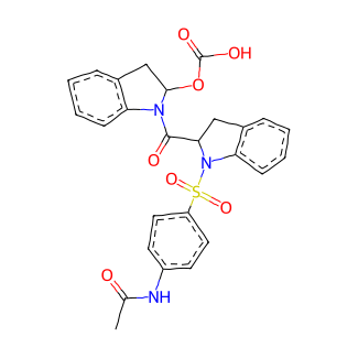 CC(=O)Nc1ccc(S(=O)(=O)N2c3ccccc3CC2C(=O)N2c3ccccc3CC2OC(=O)O)cc1